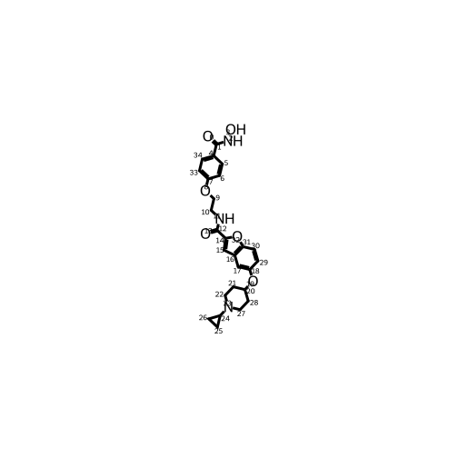 O=C(NO)c1ccc(OCCNC(=O)c2cc3cc(OC4CCN(C5CC5)CC4)ccc3o2)cc1